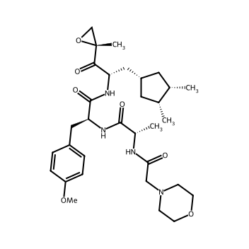 COc1ccc(C[C@H](NC(=O)[C@H](C)NC(=O)CN2CCOCC2)C(=O)N[C@@H](C[C@H]2C[C@@H](C)[C@@H](C)C2)C(=O)[C@@]2(C)CO2)cc1